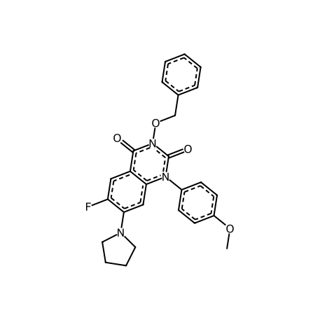 COc1ccc(-n2c(=O)n(OCc3ccccc3)c(=O)c3cc(F)c(N4CCCC4)cc32)cc1